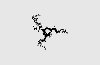 CN=Cc1cc(C)cc(C=NC)n1.[Cl-].[Cl-].[Cl-].[Fe+3]